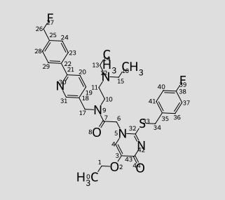 CCOc1cn(CC(=O)N(CCN(CC)CC)Cc2ccc(-c3ccc(CF)cc3)nc2)c(SCc2ccc(F)cc2)nc1=O